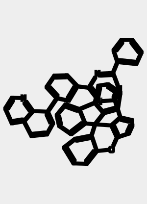 c1ccc(-c2nc(-c3cccc(-c4cccc5cccnc45)c3)nc(-c3cccc4c3C3(c5ccccc5O4)c4ccccc4-c4ccccc43)n2)cc1